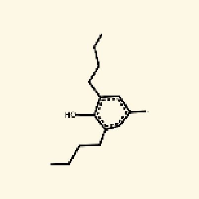 [CH2]c1cc(CCCC)c(O)c(CCCC)c1